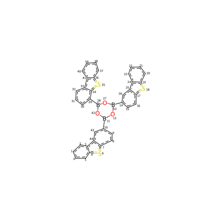 c1ccc2c(c1)sc1ccc(B3OB(c4ccc5sc6ccccc6c5c4)OB(c4cccc5c4sc4ccccc45)O3)cc12